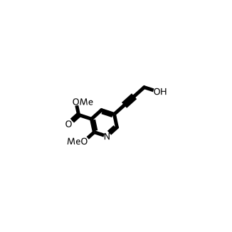 COC(=O)c1cc(C#CCO)cnc1OC